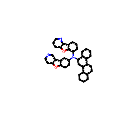 c1ccc2c(c1)ccc1c3ccccc3c(N(c3ccc4oc5ccncc5c4c3)c3cccc4c3oc3cccnc34)cc21